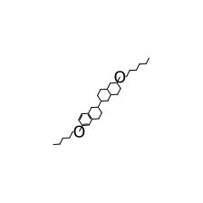 CCCCCCOC1CCC2CC(C3CCc4cc(OCCCCC)ccc4C3)CCC2C1